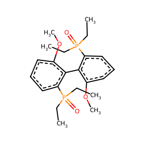 CCP(=O)(CC)c1cccc(OC)c1-c1c(OC)cccc1P(=O)(CC)CC